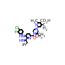 Cc1cc(N2CCN(C(=O)c3ccc(Nc4ccc(Cl)c(F)c4)c(C(=N)CC(C)C)n3)C(C)(C)C2)nc(C)c1C(=O)O